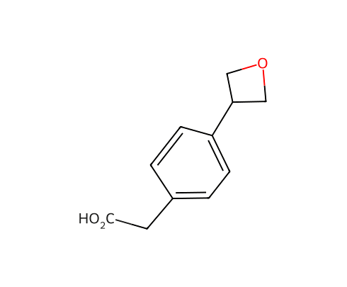 O=C(O)Cc1ccc(C2COC2)cc1